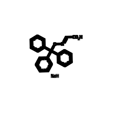 O=C(O)/C=N/OC(c1ccccc1)(c1ccccc1)c1ccccc1.[NaH]